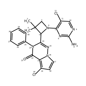 CC1(C)CN(c2nc(N)ncc2Cl)C1c1nn2ccc(Cl)c2c(=O)n1-c1ccccc1